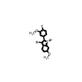 COc1ccc2c(Br)c(-c3ccc(F)c(OC)c3)[s+]([O-])c2c1